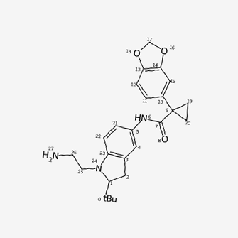 CC(C)(C)C1Cc2cc(NC(=O)C3(c4ccc5c(c4)OCO5)CC3)ccc2N1CCN